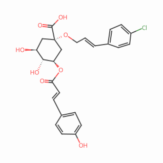 O=C(C=Cc1ccc(O)cc1)O[C@@H]1C[C@](OCC=Cc2ccc(Cl)cc2)(C(=O)O)C[C@H](O)[C@H]1O